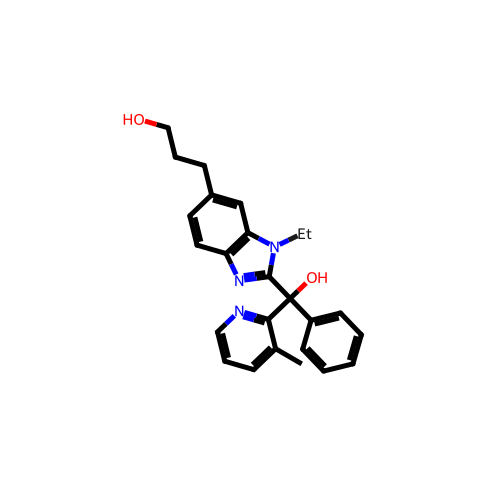 CCn1c(C(O)(c2ccccc2)c2ncccc2C)nc2ccc(CCCO)cc21